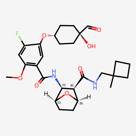 COc1cc(F)c(O[C@H]2CC[C@@](O)(C=O)CC2)cc1C(=O)N[C@H]1[C@@H](C(=O)NCC2(C)CCC2)[C@H]2CC[C@@H]1O2